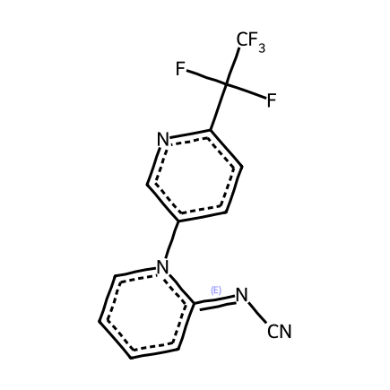 N#C/N=c1\ccccn1-c1ccc(C(F)(F)C(F)(F)F)nc1